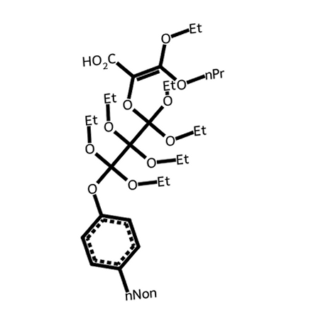 CCCCCCCCCc1ccc(OC(OCC)(OCC)C(OCC)(OCC)C(OCC)(OCC)OC(C(=O)O)=C(OCC)OCCC)cc1